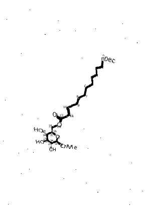 CCCCCCCCCCCCCCCCCCCCCC(=O)OC[C@H]1OC(OC)[C@H](O)[C@@H](O)[C@@H]1O